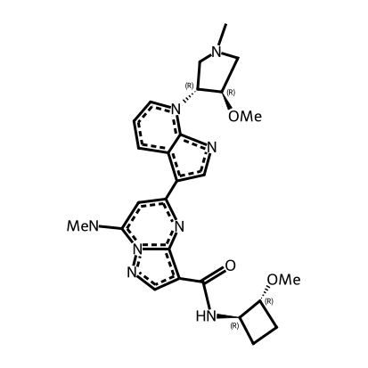 CNc1cc(-c2cnc3n([C@@H]4CN(C)C[C@H]4OC)cccc2-3)nc2c(C(=O)N[C@@H]3CC[C@H]3OC)cnn12